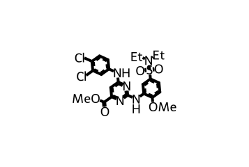 CCN(CC)S(=O)(=O)c1ccc(OC)c(Nc2nc(Nc3ccc(Cl)c(Cl)c3)cc(C(=O)OC)n2)c1